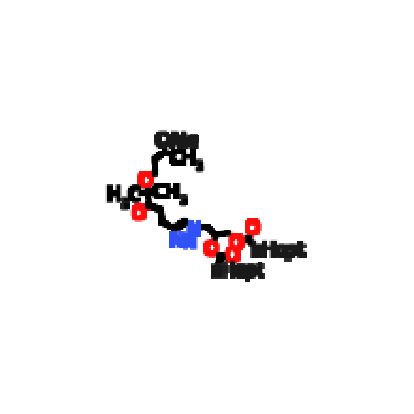 CCCCCCCC(=O)OCC(Cn1cc(CCC(=O)C(C)(C)OCCC(C)OC)nn1)OC(=O)CCCCCCC